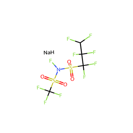 O=S(=O)(N(F)S(=O)(=O)C(F)(F)C(F)(F)C(F)F)C(F)(F)F.[NaH]